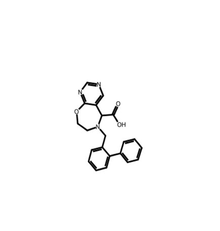 O=C(O)C1c2cncnc2OCCN1Cc1ccccc1-c1ccccc1